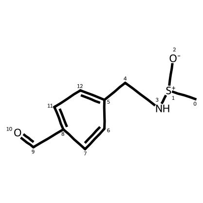 C[S+]([O-])NCc1ccc(C=O)cc1